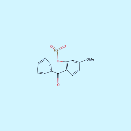 COc1ccc(C(=O)c2ccccc2)c(O[SH](=O)=O)c1